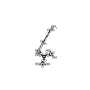 COCNC(=O)CCSCCCSCCC(=O)NCOCOCN1CC(OC(=O)c2cc(C(=O)OC3CN(CO)C(=O)N(CO)C3)cc(C(=O)OC3CN(CO)C(=O)N(CO)C3)c2)CN(CO)C1=O